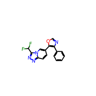 FC(F)c1nnc2ccc(-c3ocnc3-c3ccccc3)cn12